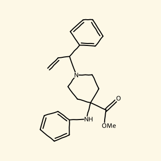 C=CC(c1ccccc1)N1CCC(Nc2ccccc2)(C(=O)OC)CC1